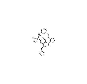 CC(C)(C)c1ncc(C(=O)N2CCCC2CCc2ccccc2)c(NCc2ccco2)n1